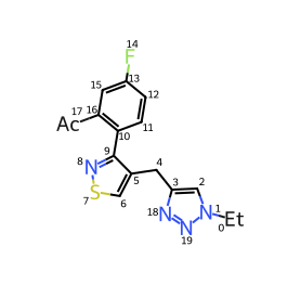 CCn1cc(Cc2csnc2-c2ccc(F)cc2C(C)=O)nn1